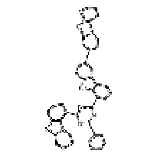 c1ccc(-c2nc(-c3cccc4c3oc3ccc(-c5ccc6c(c5)oc5ccccc56)cc34)nc(-c3cccc4sc5ccccc5c34)n2)cc1